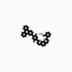 Cc1cc(-c2ccc3ccc4ccc(-c5ccccc5CO)nc4c3n2)c(C)cc1-c1ccc2c3ccccc3c3ccccc3c2c1